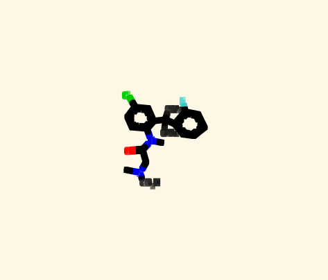 COC(OC)(c1ccccc1F)c1cc(Cl)ccc1N(C)C(=O)CN(C)C(=O)O